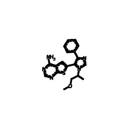 COCC(C)n1cnc(-c2ccccc2)c1-c1cc2c(N)ncnc2s1